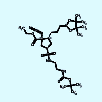 CCOC(=O)[C@@]1(N=[N+]=[N-])CN(S(=O)(=O)NCCNC(=O)OC(C)(C)C)C[C@H]1CCCB1OC(C)(C)C(C)(C)O1